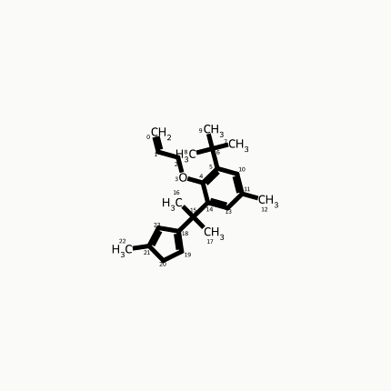 C=CCOc1c(C(C)(C)C)cc(C)cc1C(C)(C)C1=CCC(C)=C1